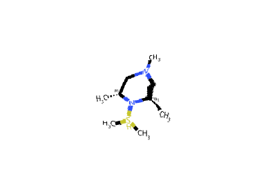 C[C@@H]1CN(C)C[C@@H](C)N1[SH](C)C